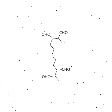 CC(C=O)C(C=O)CCCCCC(C=O)C(C)C=O